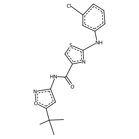 CC(C)(C)c1cc(NC(=O)c2csc(Nc3cccc(Cl)c3)n2)no1